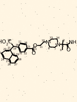 CC(C)(C(N)=O)N1CCN(CCOC(=O)c2ccc(C(C(=O)O)c3cccc4ccccc34)cc2)CC1